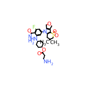 CC1(C)Cc2c(c3c(n2-c2cc(F)c(C(N)=O)c(N[C@H]4CC[C@H](OC(=O)CCN)CC4)c2)COC3)S(=O)(=O)C1